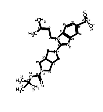 CC(C)=CCn1c(N2CC3CN(C(=O)OC(C)(C)C)CC3C2)nc2cc([N+](=O)[O-])ccc21